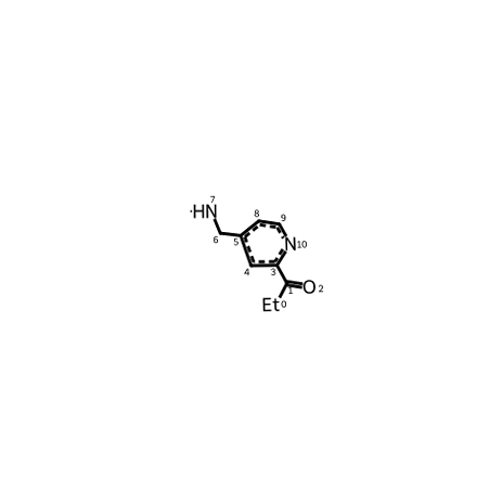 CCC(=O)c1cc(C[NH])ccn1